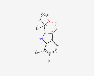 CCc1c(Br)ccc2c1NC1C2CCOC1(CC)CC(=O)O